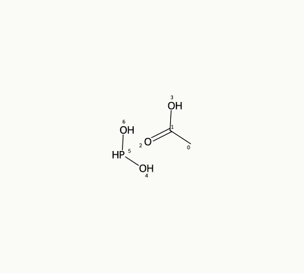 CC(=O)O.OPO